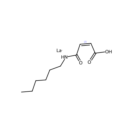 CCCCCCNC(=O)/C=C\C(=O)O.[La]